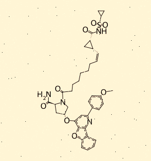 COc1ccc(-c2cc(O[C@@H]3C[C@@H](C(N)=O)N(C(=O)CCCCCC/C=C\[C@@H]4C[C@@H]4C(=O)NS(=O)(=O)C4CC4)C3)c3oc4ccccc4c3n2)cc1